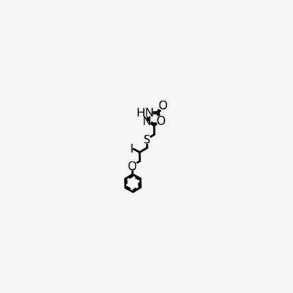 O=c1[nH]nc(CSCC(I)COc2ccccc2)o1